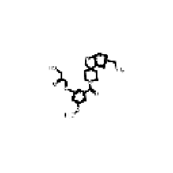 CSc1cc(OCC(=O)CO)cc(C(=O)N2CCC3(CC2)COc2ccc(CN)cc23)c1